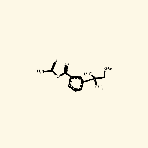 CSCC(C)(C)c1cccc(C(=O)OC(N)=O)c1